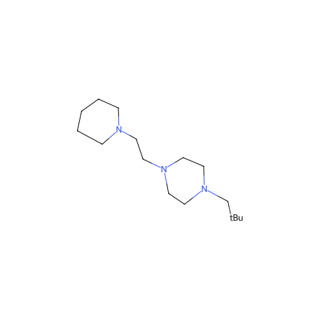 [CH2]C(C)(C)CN1CCN(CCN2CCCCC2)CC1